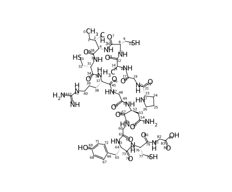 CC[C@H](C)[C@H](NC(=O)[C@H](CS)NC(=O)[C@H](C)NC(=O)CNC(=O)[C@@H]1CCCN1)C(=O)N[C@@H](CS)C(=O)N[C@@H](CCCNC(=N)N)C(=O)NCC(=O)N[C@@H](CC(N)=O)C(=O)NCC(=O)N[C@@H](Cc1ccc(O)cc1)C(=O)N[C@@H](CS)C(=O)NCC(=O)O